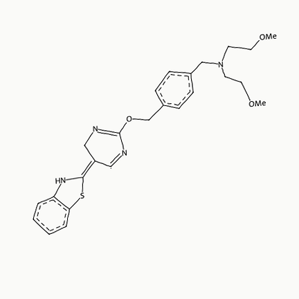 COCCN(CCOC)Cc1ccc(COC2=NCC(=C3Nc4ccccc4S3)[C]=N2)cc1